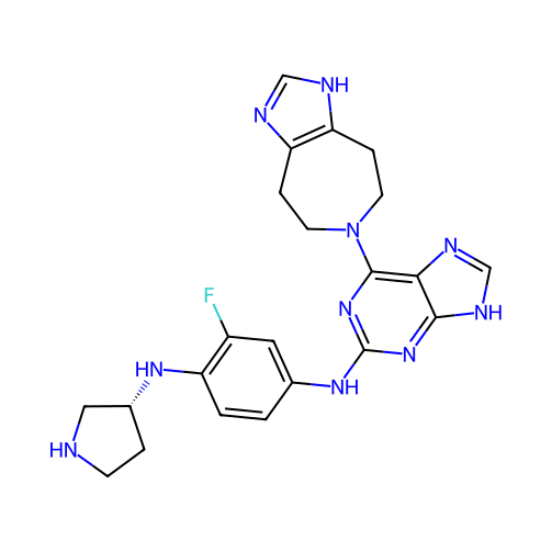 Fc1cc(Nc2nc(N3CCc4nc[nH]c4CC3)c3nc[nH]c3n2)ccc1N[C@@H]1CCNC1